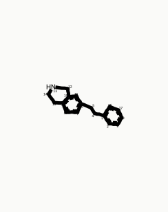 c1ccc(CCc2ccc3c(c2)CNCC3)cc1